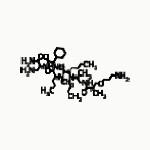 CCCC[C@@H](C(=O)N(C)[C@@H](CCC)C(=O)N[C@H](C(=O)N[C@@H](CN)C(N)=O)C1CCCCC1)N(CCCC)[C@@H](C)CNC(=O)[C@@H](C)COCCCN